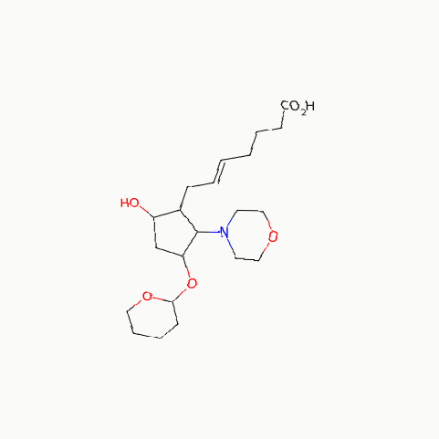 O=C(O)CCCC=CCC1C(O)CC(OC2CCCCO2)C1N1CCOCC1